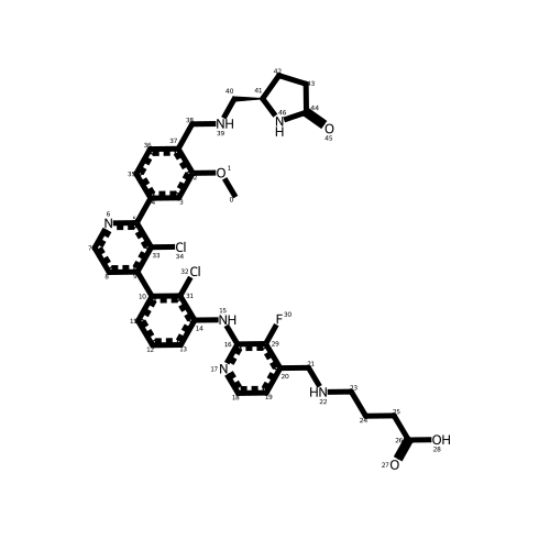 COc1cc(-c2nccc(-c3cccc(Nc4nccc(CNCCCC(=O)O)c4F)c3Cl)c2Cl)ccc1CNC[C@H]1CCC(=O)N1